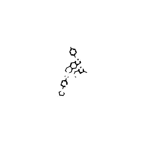 COC(c1cc(C)on1)[C@]12Cc3cnn(-c4ccc(F)cc4)c3C=C1CCN(S(=O)(=O)c1ccc(N3CC[C@@H](F)C3)nc1)C2